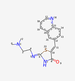 CN(C)CCN=C1NC(=O)C(=Cc2ccc3ncccc3c2)S1